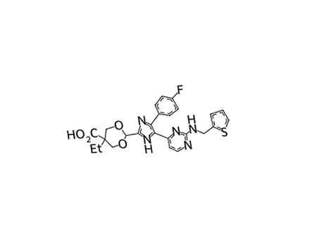 CCC1(C(=O)O)COC(c2nc(-c3ccc(F)cc3)c(-c3ccnc(NCc4cccs4)n3)[nH]2)OC1